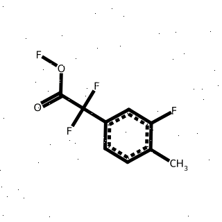 Cc1ccc(C(F)(F)C(=O)OF)cc1F